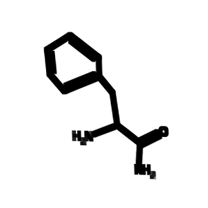 NC(=O)C(N)Cc1ccccc1